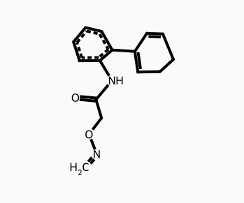 C=NOCC(=O)Nc1ccccc1C1=CCCC=C1